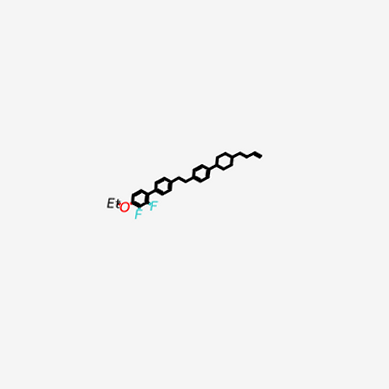 C=CCCC1CCC(c2ccc(CCc3ccc(-c4ccc(OCC)c(F)c4F)cc3)cc2)CC1